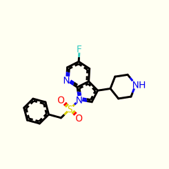 O=S(=O)(Cc1ccccc1)n1cc(C2CCNCC2)c2cc(F)cnc21